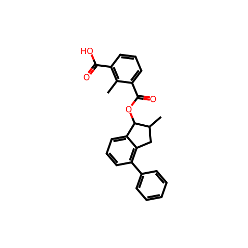 Cc1c(C(=O)O)cccc1C(=O)OC1c2cccc(-c3ccccc3)c2CC1C